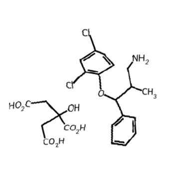 CC(CN)C(Oc1ccc(Cl)cc1Cl)c1ccccc1.O=C(O)CC(O)(CC(=O)O)C(=O)O